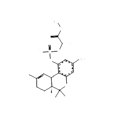 CCCCCc1cc2c(c(OP(=O)(N[C@@H](C)C(=O)OC(C)C)C(=O)OCC)c1)[C@@H]1C=C(C)CC[C@H]1C(C)(C)O2